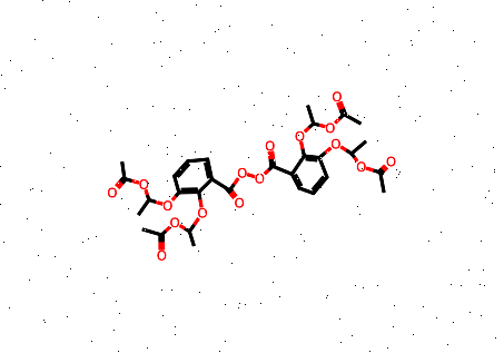 CC(=O)OC(C)Oc1cccc(C(=O)OOC(=O)c2cccc(OC(C)OC(C)=O)c2OC(C)OC(C)=O)c1OC(C)OC(C)=O